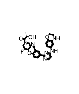 C[C@H](O)C(=O)N1CC[C@H](Oc2ccc(-c3nccc(Nc4ccc5c(c4)NCCO5)n3)cc2C#N)[C@H](F)C1